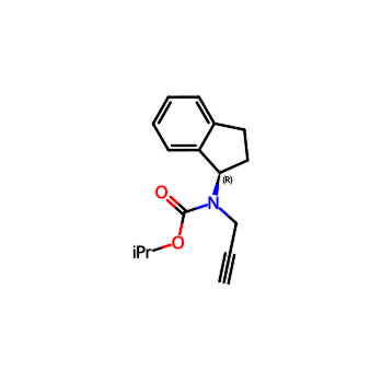 C#CCN(C(=O)OC(C)C)[C@@H]1CCc2ccccc21